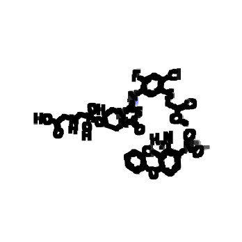 COC(=O)CSc1cc(/N=c2\sc(=O)n3n2CCCC3)c(F)cc1Cl.Nc1c([N+](=O)[O-])ccc(Oc2ccccc2)c1Cl.O=C(O)CNCP(=O)(O)O